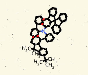 CC(C)(C)c1ccc2c(c1)C(C)(C)c1cccc(-c3ccccc3N(c3ccc4c(c3)C3(c5ccccc5-c5ccccc53)c3ccccc3-4)c3ccccc3-c3ccccc3)c1-2